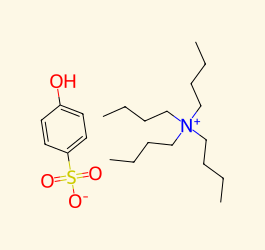 CCCC[N+](CCCC)(CCCC)CCCC.O=S(=O)([O-])c1ccc(O)cc1